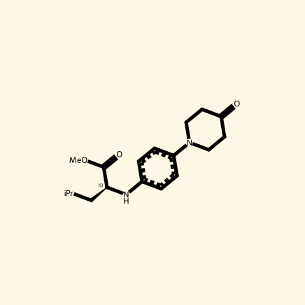 COC(=O)[C@H](CC(C)C)Nc1ccc(N2CCC(=O)CC2)cc1